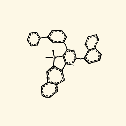 C[Si]1(C)c2cc3ccccc3cc2-c2nc(-c3cccc4ccccc34)nc(-c3cccc(-c4ccccc4)c3)c21